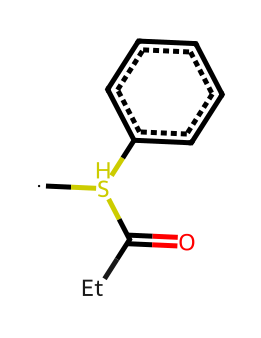 [CH2][SH](C(=O)CC)c1ccccc1